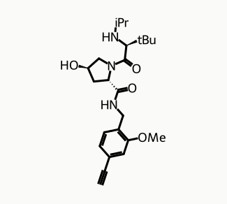 C#Cc1ccc(CNC(=O)[C@@H]2C[C@@H](O)CN2C(=O)[C@@H](NC(C)C)C(C)(C)C)c(OC)c1